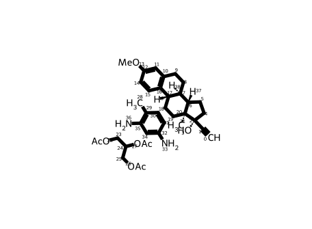 C#C[C@]1(O)CC[C@H]2[C@@H]3CCc4cc(OC)ccc4[C@H]3CC[C@@]21C.CC(=O)OCC(COC(C)=O)OC(C)=O.Cc1ccc(N)cc1N